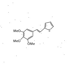 COc1cc(C=Cc2cccs2)cc(OC)c1OC